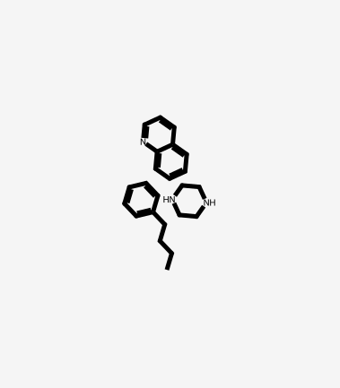 C1CNCCN1.CCCCc1ccccc1.c1ccc2ncccc2c1